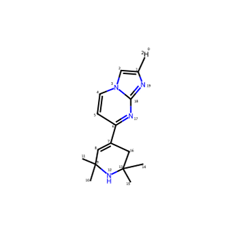 [2H]c1cn2ccc(C3=CC(C)(C)NC(C)(C)C3)nc2n1